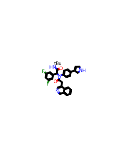 CC(C)(C)NC(=O)C(c1cc(F)cc(F)c1)N(C(=O)Cc1cncc2ccccc12)c1ccc(C2=CCNC2)cc1